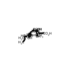 CC#CCC(C)C(O)/C=C/[C@@H]1[C@H]2C/C(=C/CCC(O[C@@H]3C[C@H](O)[C@H](C/C=C\CCCC(=O)O)[C@H]3/C=C/C(C)(O)CCCCC)C(=O)O)C[C@H]2C[C@H]1O